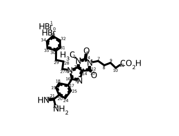 Br.Br.Cn1c(=O)n(CCCCC(=O)O)c(=O)c2nc(-c3ccc(C(=N)N)cc3)n(CCCc3ccccc3)c21